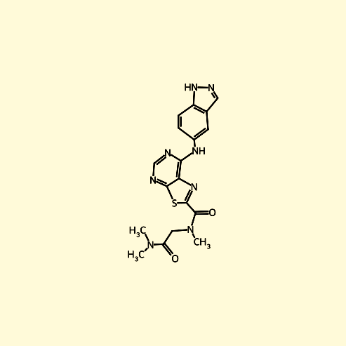 CN(C)C(=O)CN(C)C(=O)c1nc2c(Nc3ccc4[nH]ncc4c3)ncnc2s1